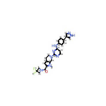 Cn1c(C(=O)N2CC(F)(F)C2)cc2c1CN(c1nccc(Nc3ccc(-c4cn[nH]c4)cc3)n1)CC2